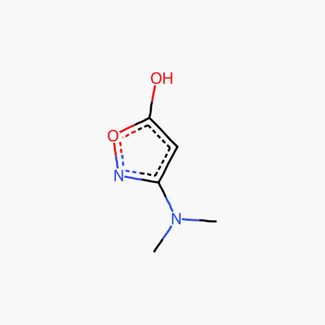 CN(C)c1cc(O)on1